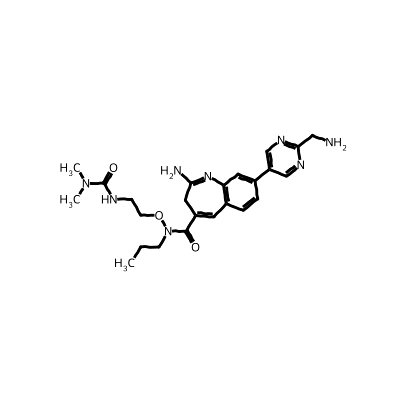 CCCN(OCCNC(=O)N(C)C)C(=O)C1=Cc2ccc(-c3cnc(CN)nc3)cc2N=C(N)C1